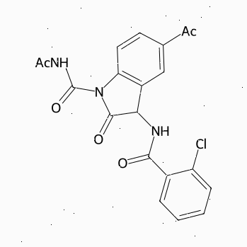 CC(=O)NC(=O)N1C(=O)C(NC(=O)c2ccccc2Cl)c2cc(C(C)=O)ccc21